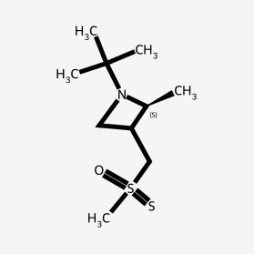 C[C@H]1C(CS(C)(=O)=S)CN1C(C)(C)C